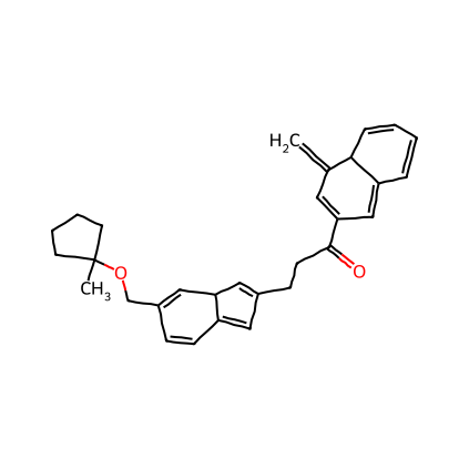 C=C1C=C(C(=O)CCC2=CC3C=C(COC4(C)CCCC4)C=CC3=C2)C=C2C=CC=CC12